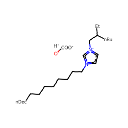 CCCCCCCCCCCCCCCCCCn1cc[n+](CC(CC)CCCC)c1.O=C([O-])[O-].[H+]